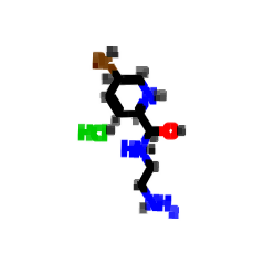 Cl.NCCNC(=O)c1ccc(Br)cn1